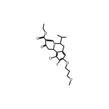 CCOC(=O)C1=CN2C(CC1=O)c1c(cc(OCCCOC)c(F)c1Cl)CC2C(C)C